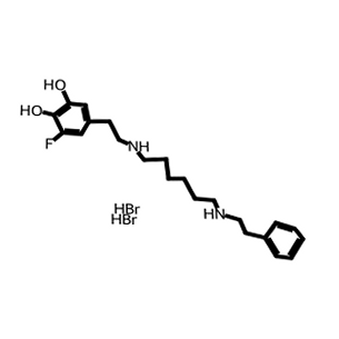 Br.Br.Oc1cc(CCNCCCCCCNCCc2ccccc2)cc(F)c1O